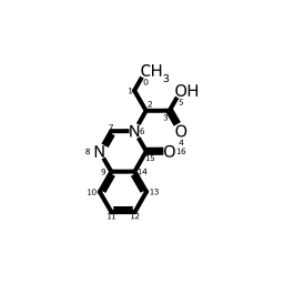 CCC(C(=O)O)n1cnc2ccccc2c1=O